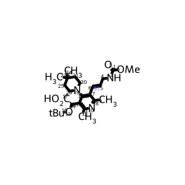 COC(=O)NC/C=C/c1c(C)nc(C)c([C@H](OC(C)(C)C)C(=O)O)c1N1CCC(C)(C)CC1